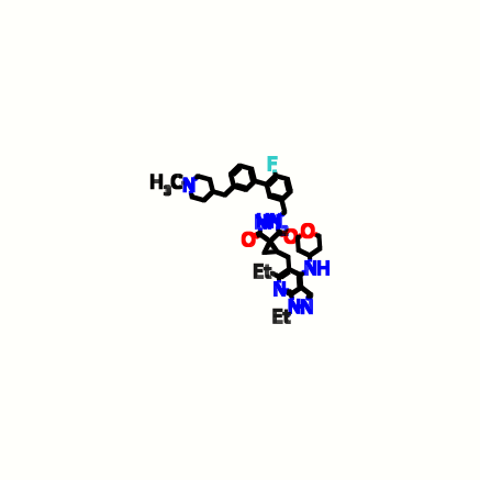 CCc1nc2c(cnn2CC)c(NC2CCOCC2)c1CC1CC1(C(N)=O)C(=O)NCc1ccc(F)c(-c2cccc(CC3CCN(C)CC3)c2)c1